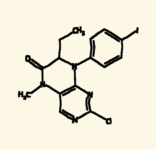 CCC1C(=O)N(C)c2cnc(Cl)nc2N1c1ccc(I)cc1